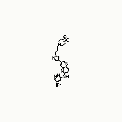 CC(C)c1cnnc(Nc2ccc3ncc(-c4cnn(CCCN5CCS(=O)(=O)CC5)c4)cc3n2)c1